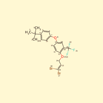 CC(C)(C)c1ccc(Oc2ccc(OCC=C(Br)Br)c(C(F)(F)F)c2)cc1